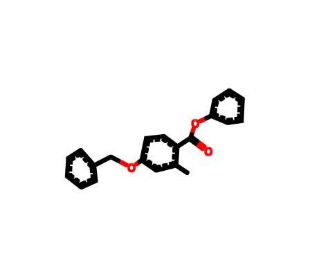 Cc1cc(OCc2ccccc2)ccc1C(=O)Oc1ccccc1